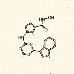 O=C(NO)c1ccc(Nc2nccc(-c3cnc4ccccn34)n2)s1